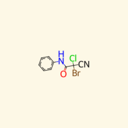 N#CC(Cl)(Br)C(=O)Nc1ccccc1